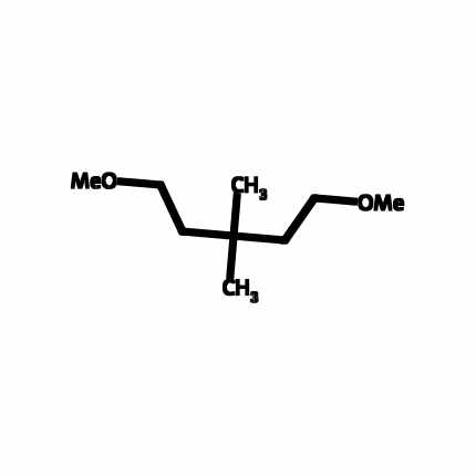 COCCC(C)(C)CCOC